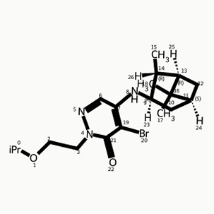 CC(C)OCCn1ncc(N[C@@H]2C[C@@H]3C[C@H]([C@H]2C)C3(C)C)c(Br)c1=O